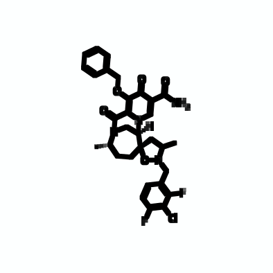 CC1C[C@]2(CC[C@H](C)N3C[C@H]2n2cc(C(N)=O)c(=O)c(OCc4ccccc4)c2C3=O)ON1Cc1ccc(F)c(Cl)c1F